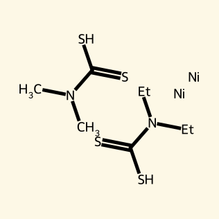 CCN(CC)C(=S)S.CN(C)C(=S)S.[Ni].[Ni]